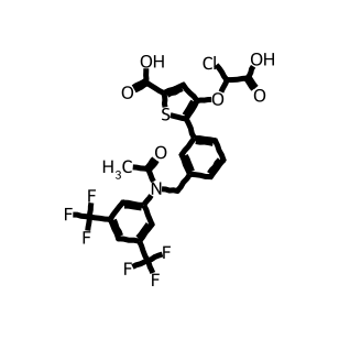 CC(=O)N(Cc1cccc(-c2sc(C(=O)O)cc2OC(Cl)C(=O)O)c1)c1cc(C(F)(F)F)cc(C(F)(F)F)c1